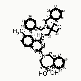 Cc1ccc2nc(N3CCS(O)(O)c4ccccc4C3)nc(NCC3(N(Cc4ccccc4)Cc4ccccc4)COC3)c2c1